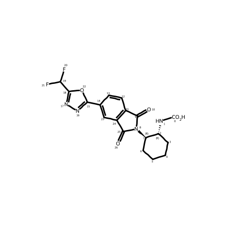 O=C(O)N[C@@H]1CCCC[C@H]1N1C(=O)c2ccc(-c3nnc(C(F)F)o3)cc2C1=O